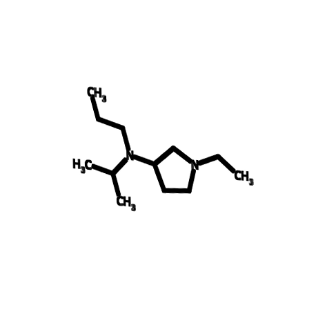 CCCN(C(C)C)C1CCN(CC)C1